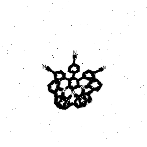 N#Cc1ccc(-c2c(-c3ccc(C#N)cc3)c(-n3c4ccccc4c4ccccc43)c(-n3c4ccccc4c4ccccc43)c(-n3c4ccccc4c4ccccc43)c2-c2ccc(C#N)cc2)cc1